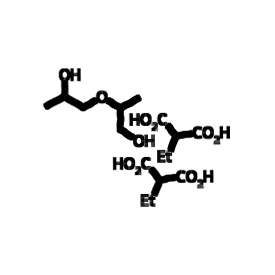 CC(O)COC(C)CO.CCC(C(=O)O)C(=O)O.CCC(C(=O)O)C(=O)O